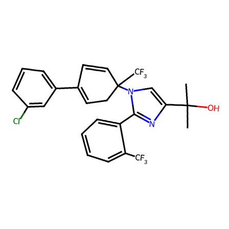 CC(C)(O)c1cn(C2(C(F)(F)F)C=CC(c3cccc(Cl)c3)=CC2)c(-c2ccccc2C(F)(F)F)n1